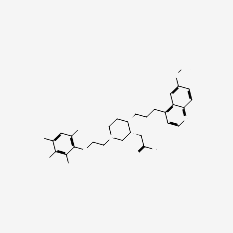 COc1ccc2nccc(CCC[C@@H]3CCN(CCSc4c(F)cc(F)c(F)c4F)C[C@@H]3CC(=O)O)c2c1